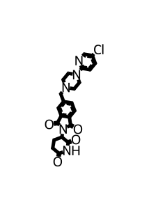 O=C1CCC(N2C(=O)c3ccc(CN4CCN(c5ccc(Cl)cn5)CC4)cc3C2=O)C(=O)N1